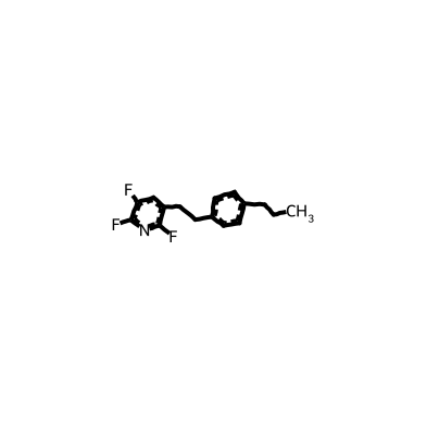 CCCc1ccc(CCc2cc(F)c(F)nc2F)cc1